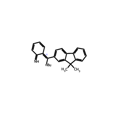 CCCC/C(=C1/C=CC=CC1=N)c1ccc2c(c1)C(C)(C)c1ccccc1-2